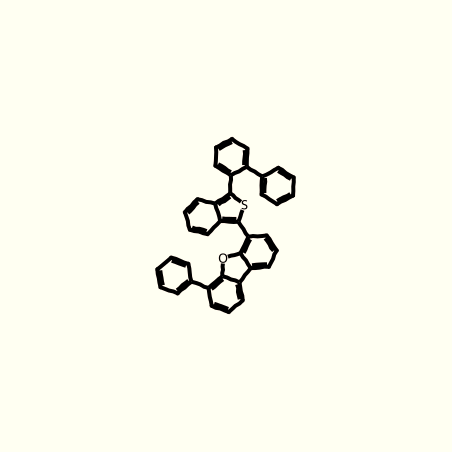 c1ccc(-c2ccccc2-c2sc(-c3cccc4c3oc3c(-c5ccccc5)cccc34)c3ccccc23)cc1